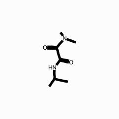 CC(C)NC(=O)C(=O)N(C)C